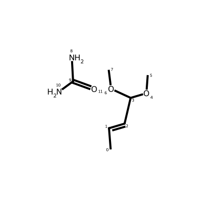 C/C=C/C(OC)OC.NC(N)=O